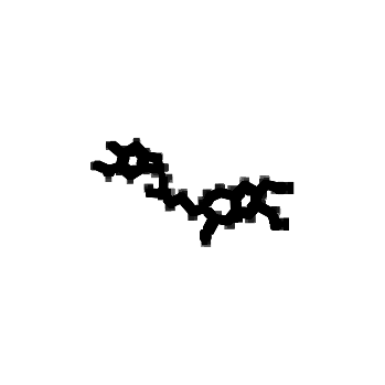 COc1cc2c(cc1C)C[C@@H]2CN(C)CCCN1CCc2cc(CO)c(CO)cc2CC1=O